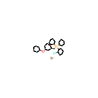 Fc1ccccc1[P+](Cc1cccc(Oc2ccccc2)c1)(c1ccccc1)c1ccccc1.[Br-]